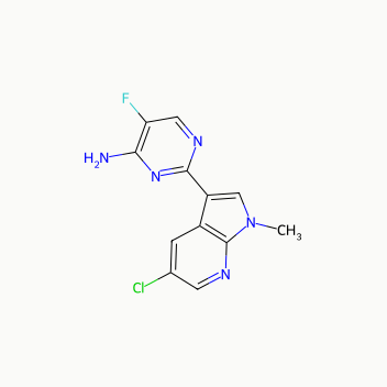 Cn1cc(-c2ncc(F)c(N)n2)c2cc(Cl)cnc21